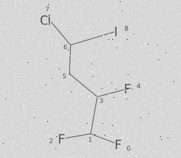 FC(F)C(F)CC(Cl)I